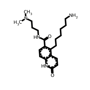 CN(C)CCCNC(=O)c1ccc2[nH]c(=O)ccc2c1CCCCCCN